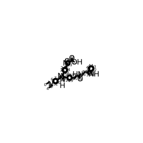 CCN(CC)c1ccc(-c2nc(-c3ccc(C4=NOC(C(=O)O)C4)cc3)c(-c3ccc(C=CC(=O)NCCc4c[nH]c5ccccc45)cc3)[nH]2)cc1